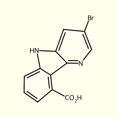 O=C(O)c1cccc2[nH]c3cc(Br)cnc3c12